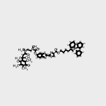 CC1=C(C)C(=O)C(C(C)(C)CC(=O)N(C)CCN(C)C(=O)Oc2ccc3nc(C4=N[C@@H](C(=O)OCCCCCC[PH](c5ccccc5)(c5ccccc5)c5ccccc5)CS4)sc3c2)=C(C)C1=O